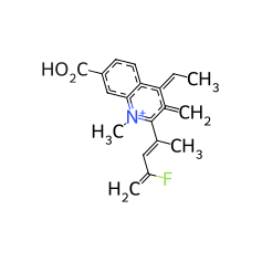 C=C(F)/C=C(\C)c1c(=C)/c(=C\C)c2ccc(C(=O)O)cc2[n+]1C